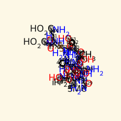 C=C(N[C@@H](CC(N)=O)C(=O)C(=O)[C@H](CC(C)C)NO)[C@H](CCSC)NC(=O)[C@H](CCC(N)=O)NC(=O)[C@H](CC(N)=O)NC(=O)[C@H](Cc1c[nH]c2ccccc12)NC(=O)[C@@H](NC(=O)[C@H](Cc1ccc(O)cc1)NC(=O)C(N)CSSCC(NC(=O)CCC(N)C(=O)O)C(=O)NCC(=O)O)[C@@H](C)O